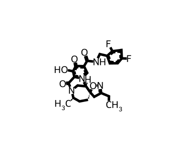 CCC1=NO[C@@]2(CC[C@H](C)N3C[C@H]2n2cc(C(=O)NCc4ccc(F)cc4F)c(=O)c(O)c2C3=O)C1